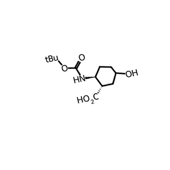 CC(C)(C)OC(=O)N[C@H]1CCC(O)C[C@@H]1C(=O)O